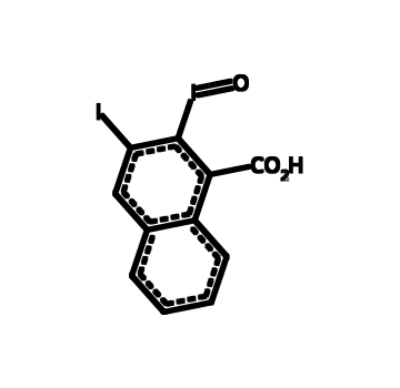 O=Ic1c(I)cc2ccccc2c1C(=O)O